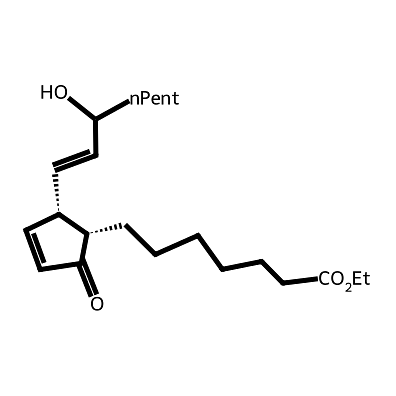 CCCCCC(O)C=C[C@H]1C=CC(=O)[C@H]1CCCCCCC(=O)OCC